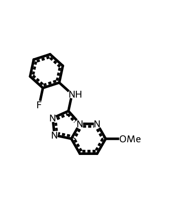 COc1ccc2nnc(Nc3ccccc3F)n2n1